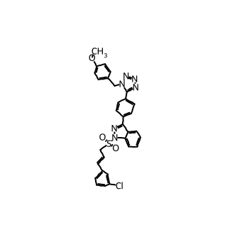 COc1ccc(Cn2nnnc2-c2ccc(-c3nn(S(=O)(=O)CC=Cc4cccc(Cl)c4)c4ccccc34)cc2)cc1